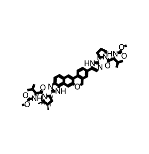 COC(=O)N[C@H](C(=O)N1CCC[C@H]1c1ncc(-c2ccc3c(c2)COc2cc4c(ccc5nc([C@@H]6C[C@@H](C)[C@@H](C)N6C(=O)[C@@H](NC(=O)OC)C(C)C)[nH]c54)cc2-3)[nH]1)C(C)C